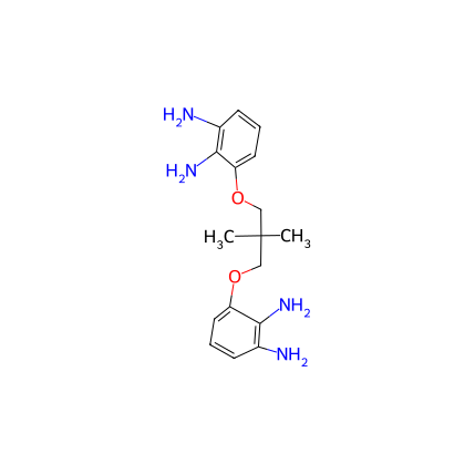 CC(C)(COc1cccc(N)c1N)COc1cccc(N)c1N